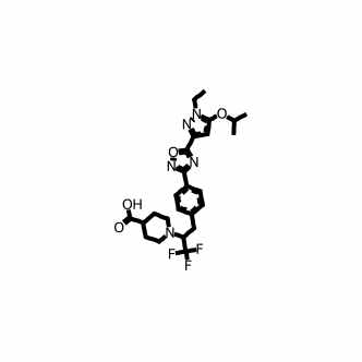 CCn1nc(-c2nc(-c3ccc(CC(N4CCC(C(=O)O)CC4)C(F)(F)F)cc3)no2)cc1OC(C)C